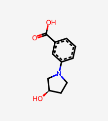 O=C(O)c1cccc(N2CC[C@@H](O)C2)c1